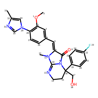 COc1cc(/C=c2/c(=O)n3c(n2C)=NCCC3(CO)c2ccc(F)cc2)ccc1-n1cnc(C)c1